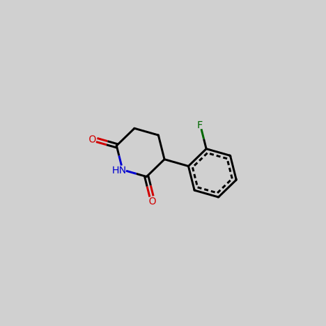 O=C1CCC(c2ccccc2F)C(=O)N1